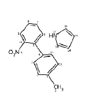 Cc1ccc(-c2ccccc2[N+](=O)[O-])cc1.c1cc[nH]c1